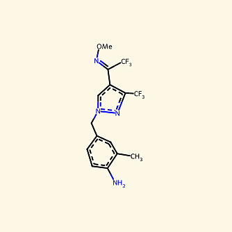 CON=C(c1cn(Cc2ccc(N)c(C)c2)nc1C(F)(F)F)C(F)(F)F